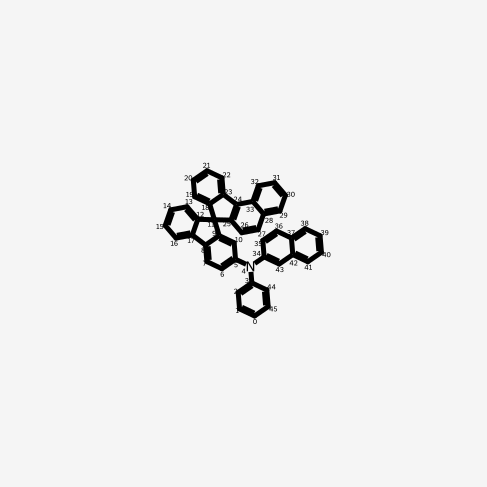 c1ccc(N(c2ccc3c(c2)C2(c4ccccc4-3)c3ccccc3-c3c2ccc2ccccc32)c2ccc3ccccc3c2)cc1